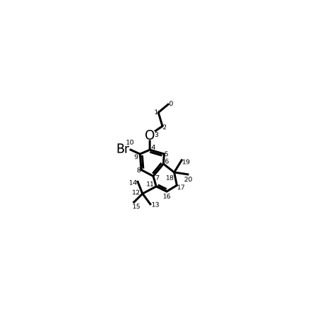 CCCOc1cc2c(cc1Br)C(C(C)(C)C)=CCC2(C)C